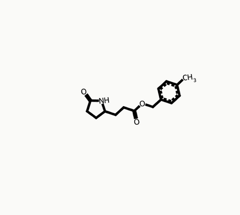 Cc1ccc(COC(=O)CCC2CCC(=O)N2)cc1